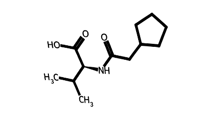 CC(C)[C@H](NC(=O)CC1CCCC1)C(=O)O